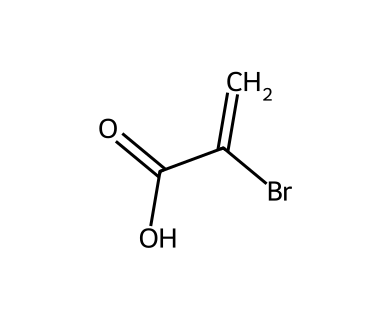 C=C(Br)C(=O)O